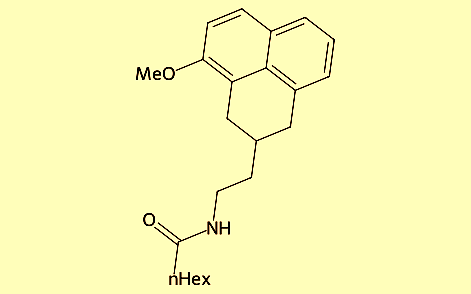 CCCCCCC(=O)NCCC1Cc2cccc3ccc(OC)c(c23)C1